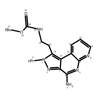 CCCn1nc2c(N)nc3ncccc3c2c1CCNC(=O)OC(C)(C)C